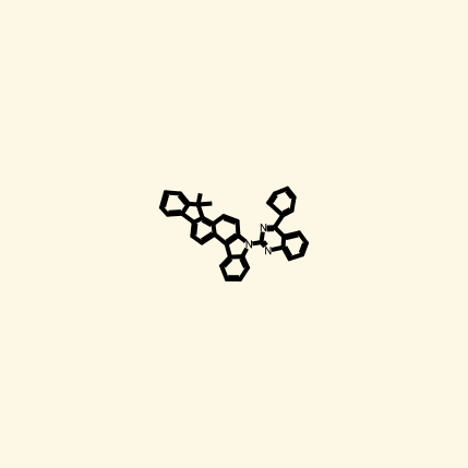 CC1(C)c2ccccc2-c2ccc3c(ccc4c3c3ccccc3n4-c3nc(-c4ccccc4)c4ccccc4n3)c21